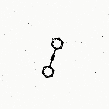 C(#Cc1cccnc1)c1ccccc1